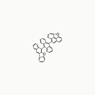 c1ccc2c(-c3c4ccccc4c(-c4cc5cccc6oc7cccc4c7c56)c4ccccc34)c3oc4ccccc4c3cc2c1